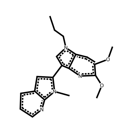 CCCn1cc(-c2cc3cccnc3n2C)c2nc(OC)c(OC)cc21